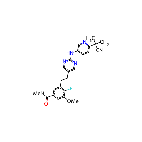 CNC(=O)c1cc(CCc2cnc(Nc3ccc(C(C)(C)C#N)nc3)nc2)c(F)c(OC)c1